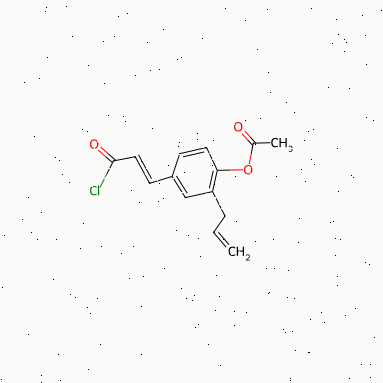 C=CCc1cc(C=CC(=O)Cl)ccc1OC(C)=O